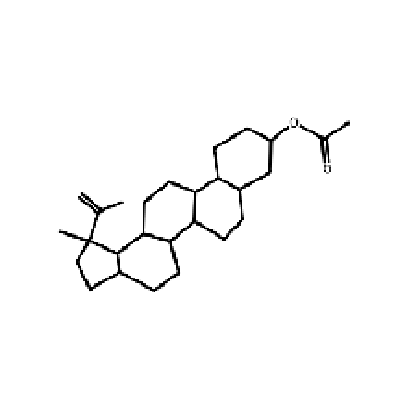 C=C(C)C1(C)CCC2CCC3C4CCC5CC(OC(C)=O)CCC5C4CCC3C21